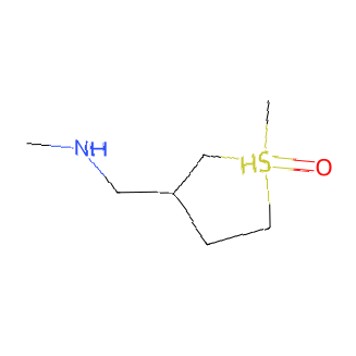 CNCC1CC[SH](C)(=O)C1